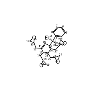 CCC(CC)(c1ccccc1)c1cc(CC2CO2)c(CC2CO2)c(CC2CO2)c1CC1CO1